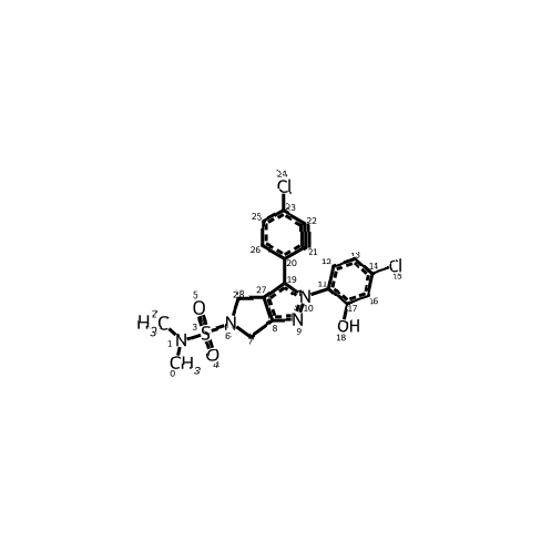 CN(C)S(=O)(=O)N1Cc2nn(-c3ccc(Cl)cc3O)c(-c3c#cc(Cl)cc3)c2C1